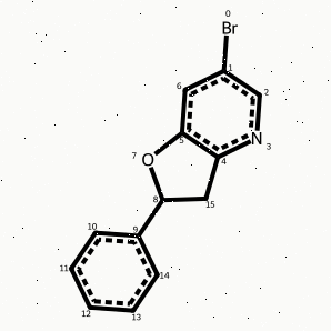 Brc1cnc2c(c1)OC(c1ccccc1)C2